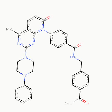 COC(=O)c1ccc(CNC(=O)c2ccc(-n3c(=O)ccc4c(C)nc(N5CCN(c6ccccc6)CC5)nc43)cc2)cc1